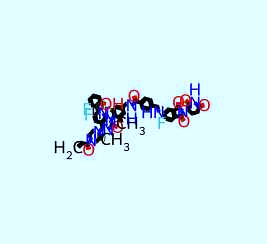 C=CC(=O)N1CCN(c2nc(=O)n(-c3c(C)cc(CNC(=O)c4ccc(CNc5cc6c(cc5F)C(=O)N(C5CCC(=O)NC5=O)C6=O)cc4)cc3C(C)C)c3nc(-c4c(O)cccc4F)c(F)cc23)[C@@H](C)C1